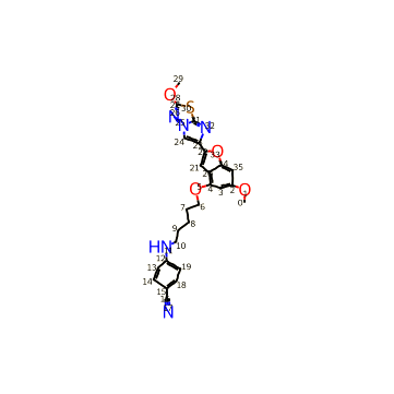 COc1cc(OCCCCCNc2ccc(C#N)cc2)c2cc(-c3cn4nc(OC)sc4n3)oc2c1